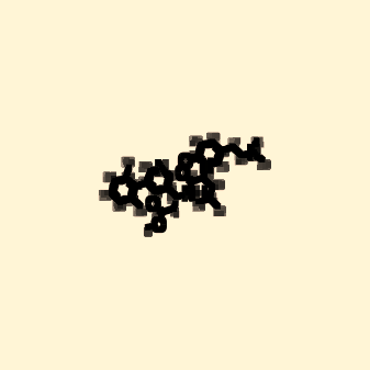 COC(=O)C[C@H](NC(=O)C(CC(C)C)n1cc(CCN(C)C)ccc1=O)c1cncc(-c2c(C)cccc2C)c1